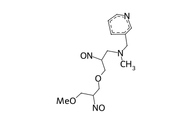 COCC(COCC(CN(C)Cc1cccnc1)N=O)N=O